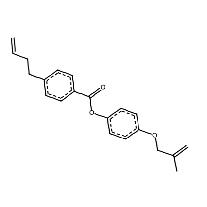 C=CCCc1ccc(C(=O)Oc2ccc(OCC(=C)C)cc2)cc1